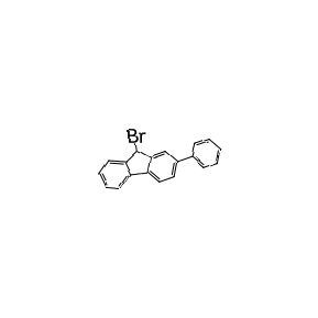 BrC1c2ccccc2-c2ccc(-c3ccccc3)cc21